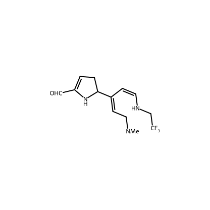 CNC/C=C(\C=C/NCC(F)(F)F)C1CC=C(C=O)N1